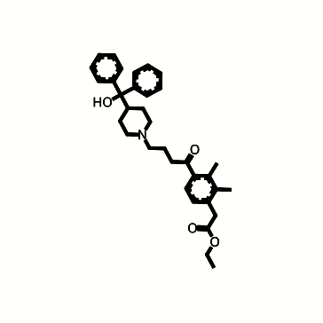 CCOC(=O)Cc1ccc(C(=O)CCCN2CCC(C(O)(c3ccccc3)c3ccccc3)CC2)c(C)c1C